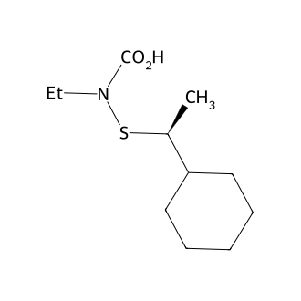 CCN(S[C@@H](C)C1CCCCC1)C(=O)O